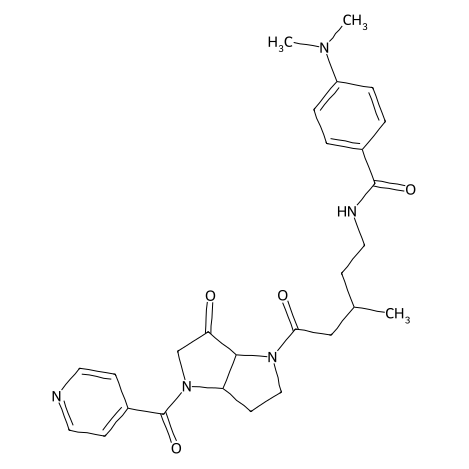 CC(CCNC(=O)c1ccc(N(C)C)cc1)CC(=O)N1CCC2C1C(=O)CN2C(=O)c1ccncc1